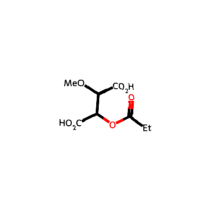 CCC(=O)OC(C(=O)O)C(OC)C(=O)O